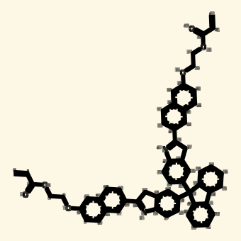 C=CC(=O)OCCOc1ccc2cc(C3=Nc4ccc(C5(c6ccc7c(c6)CC(c6ccc8cc(OCCOC(=O)C=C)ccc8c6)=N7)c6ccccc6-c6ccccc65)cc4C3)ccc2c1